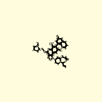 C=CC(=O)N1CC[C@H](n2nnc3c(OC[C@@H]4CCCN4C)nc4c(Cl)c(-c5cc(F)cc6cccnc56)c(Cl)cc4c32)C[C@H]1CC#N